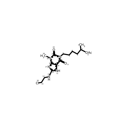 CC(=O)OC(C)CCCCn1c(=O)c2[nH]c(NCCCl)nc2n(C)c1=O